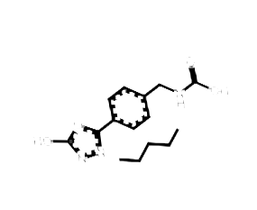 CCCCC.O=C(O)NCc1ccc(-c2nnc(O)o2)cc1